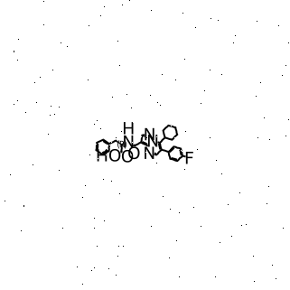 O=C(N[C@H](Cc1ccccc1)C(=O)O)c1cnn2c(C3CCCCC3)c(-c3ccc(F)cc3)cnc12